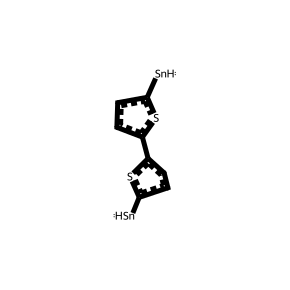 [SnH][c]1ccc(-c2cc[c]([SnH])s2)s1